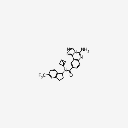 Nc1nc2ccc(C(=O)N(C3CCc4cc(C(F)(F)F)ccc43)C34CC(C3)C4)cc2c2nncn12